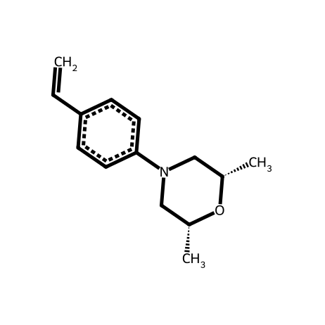 C=Cc1ccc(N2C[C@@H](C)O[C@@H](C)C2)cc1